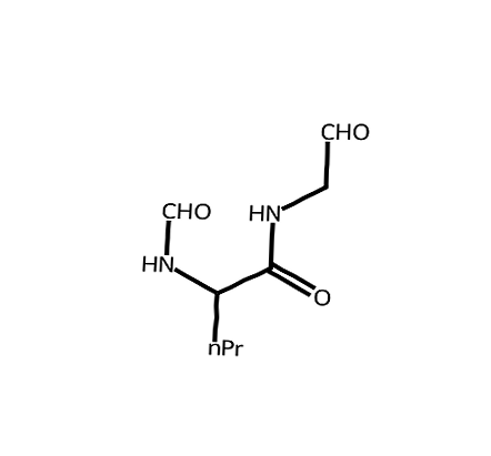 CCCC(NC=O)C(=O)NCC=O